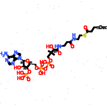 CCCCCCCCCCCCC(=O)SCCNC(=O)CCNC(=O)[C@H](O)C(C)(C)COP(=O)(O)OP(=O)(O)OC[C@H]1O[C@@H](n2cnc3c(N)ncnc32)[C@H](O)[C@@H]1OP(=O)(O)O